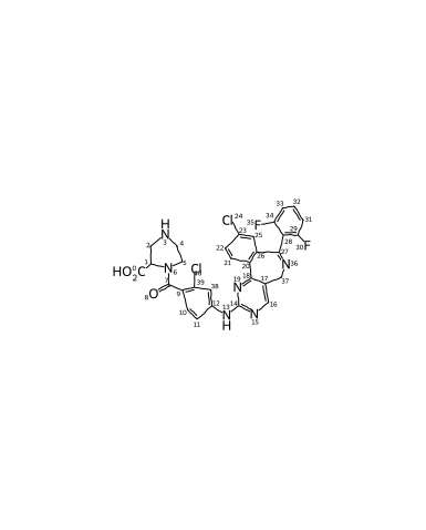 O=C(O)C1CNCCN1C(=O)c1ccc(Nc2ncc3c(n2)-c2ccc(Cl)cc2C(c2c(F)cccc2F)=NC3)cc1Cl